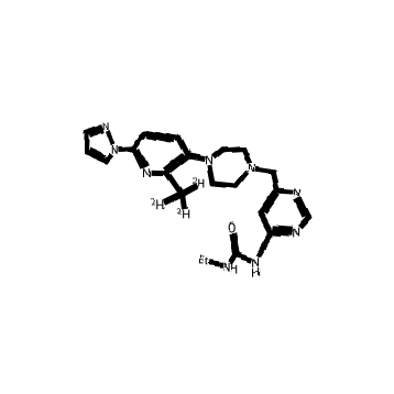 [2H]C([2H])([2H])c1nc(-n2cccn2)ccc1N1CCN(Cc2cc(NC(=O)NCC)ncn2)CC1